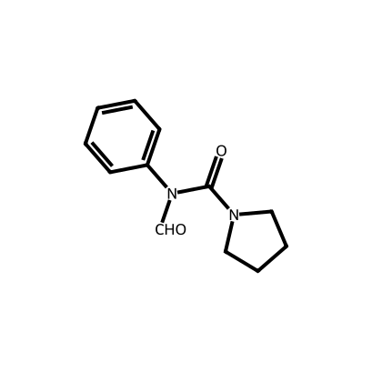 O=CN(C(=O)N1CCCC1)c1ccccc1